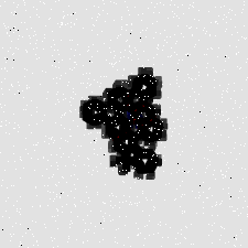 CC1(C)c2ccccc2-c2c(-c3ccccc3N(c3ccc4ccccc4c3)c3cccc(-c4ccccc4)c3-c3ccccc3-c3ccccc3)cccc21